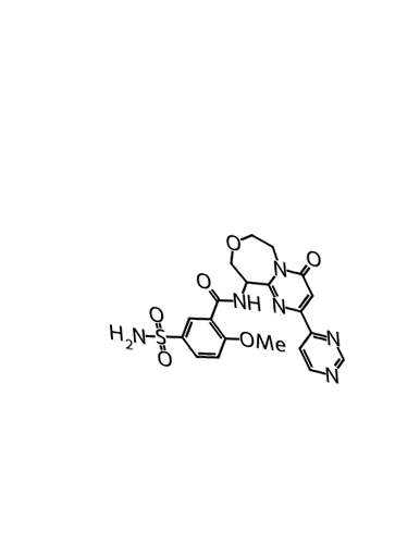 COc1ccc(S(N)(=O)=O)cc1C(=O)NC1COCCn2c1nc(-c1ccncn1)cc2=O